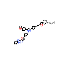 CCOc1ccc(C2CC(c3ccc(C#Cc4ccc(/C=C(\C#N)C(=O)O)o4)cc3)=NN2c2ccc(-c3ccc(-c4nc5ccccc5[nH]4)o3)cc2)cc1